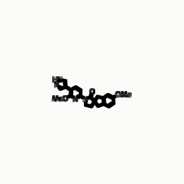 COc1ccc2c(c1)CC1(CCN(c3ccc(-c4cn[nH]c4)c(OC)n3)C1=O)C2